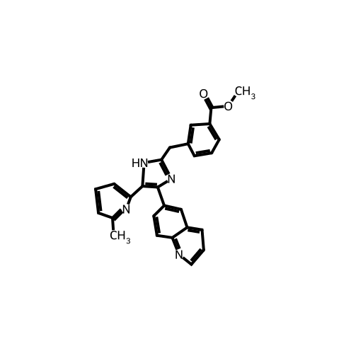 COC(=O)c1cccc(Cc2nc(-c3ccc4ncccc4c3)c(-c3cccc(C)n3)[nH]2)c1